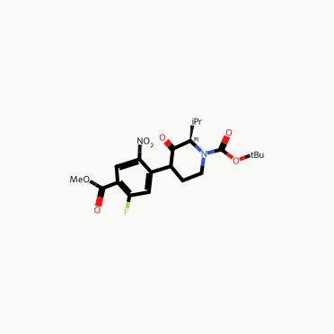 COC(=O)c1cc([N+](=O)[O-])c(C2CCN(C(=O)OC(C)(C)C)[C@H](C(C)C)C2=O)cc1F